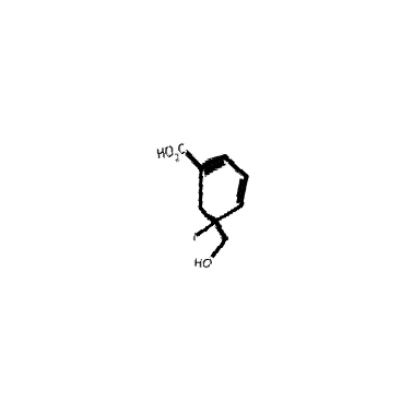 O=C(O)C1=CC=CC(I)(CO)C1